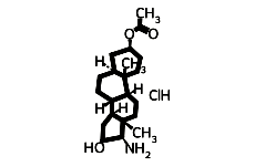 CC(=O)O[C@H]1CC[C@@]2(C)[C@@H](CC[C@@H]3[C@@H]2CC[C@]2(C)[C@H](N)[C@H](O)C[C@@H]32)C1.Cl